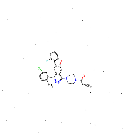 C=CC(=O)N1CCN(c2nnc(-c3cc(Cl)ccc3C)c3cc4c(cc23)oc2cccc(F)c24)CC1